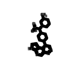 CC1CCCN(C(C2CCC(c3cnnc4cnc5[nH]ccc5c34)CC2)[SH](=O)=O)C1